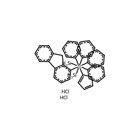 Cl.Cl.[SiH3][Zr]([SiH3])([C]1=CC=CC1)([c]1ccccc1)([c]1ccccc1)([c]1ccccc1)([c]1ccccc1)[c]1cccc2c1Cc1ccccc1-2